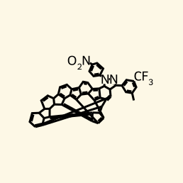 Cc1cc(C2=NN(c3ccc([N+](=O)[O-])cc3)C3c4c5ccc6c7ccc8c9c%10c%11c%12c%13c%14c%15c(c(c%14c4c4c5c6c(c97)c%11c%134)C23)C=CC2C%15C=%12C3C2C=CC8C%103)cc(C(F)(F)F)c1